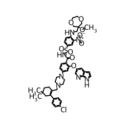 COC1(CNc2ccc(S(=O)(=O)NC(=O)c3ccc(N4CCN(CC5=C(c6ccc(Cl)cc6)CC(C)(C)CC5)CC4)cc3Oc3cnc4[nH]ccc4c3)cc2[N+](=O)[O-])COCCOC1